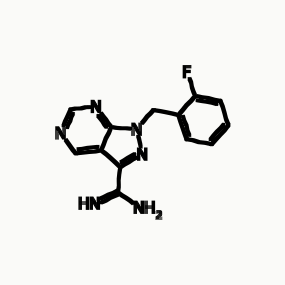 N=C(N)c1nn(Cc2ccccc2F)c2ncncc12